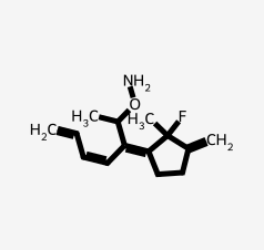 C=C/C=C\C(=C1/CCC(=C)C1(C)F)C(C)ON